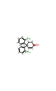 O=C1C=CC(c2ccccc2F)(c2ccccc2F)CC1